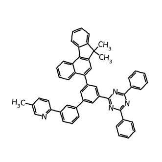 Cc1ccc(-c2cccc(-c3cc(-c4nc(-c5ccccc5)nc(-c5ccccc5)n4)cc(-c4cc5c(c6ccccc46)-c4ccccc4C5(C)C)c3)c2)nc1